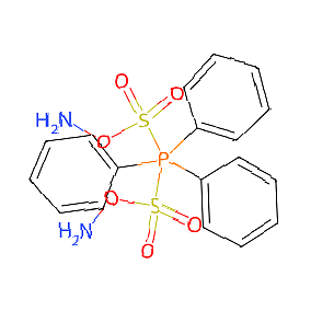 NOS(=O)(=O)P(c1ccccc1)(c1ccccc1)(c1ccccc1)S(=O)(=O)ON